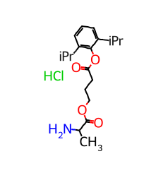 CC(N)C(=O)OCCCC(=O)Oc1c(C(C)C)cccc1C(C)C.Cl